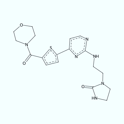 O=C1NCCN1CCNc1nccc(-c2ccc(C(=O)N3CCOCC3)s2)n1